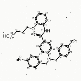 CCCc1ccc(CN(Cc2ccc(CCC)cc2)c2ccc(C(=O)Nc3ccccc3OCCCC(=O)O)cc2)cc1